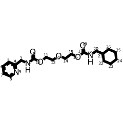 O=C(NCc1ccccn1)OCCOCCOC(=O)NCC1CCCCC1